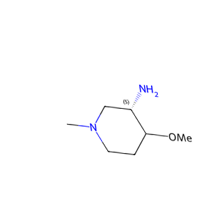 COC1CCN(C)C[C@@H]1N